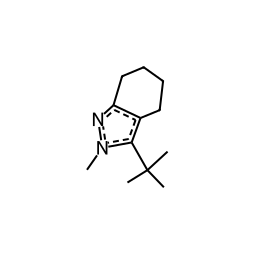 Cn1nc2c(c1C(C)(C)C)CCCC2